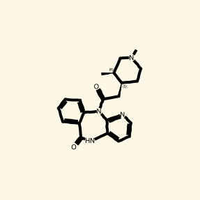 C[C@H]1CN(C)CC[C@H]1CC(=O)N1c2ccccc2C(=O)Nc2cccnc21